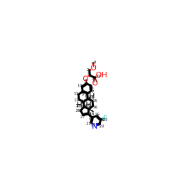 COCC(Oc1ccc2c(c1)CC[C@@H]1[C@@H]2CC[C@]2(C)C(c3cncc(F)c3)=CC[C@@H]12)C(=O)O